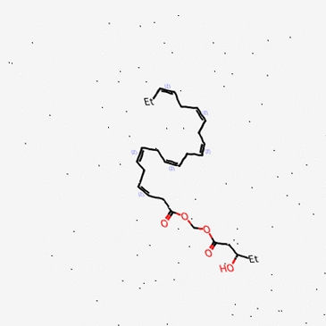 CC/C=C\C/C=C\C/C=C\C/C=C\C/C=C\C/C=C\CC(=O)OCOC(=O)CC(O)CC